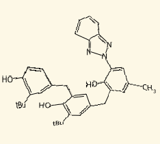 Cc1cc(Cc2cc(Cc3ccc(O)c(C(C)(C)C)c3)c(O)c(C(C)(C)C)c2)c(O)c(-n2nc3ccccc3n2)c1